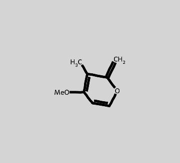 C=C1OC=CC(OC)=C1C